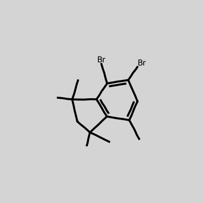 Cc1cc(Br)c(Br)c2c1C(C)(C)CC2(C)C